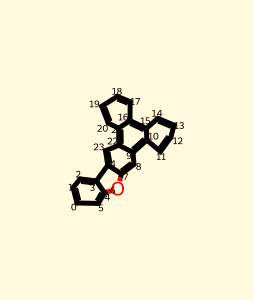 c1ccc2c(c1)oc1cc3c4ccccc4c4ccccc4c3cc12